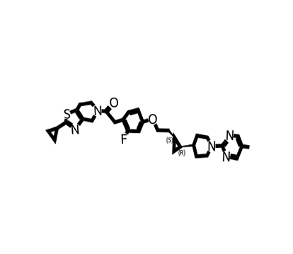 Cc1cnc(N2CCC([C@H]3C[C@H]3CCOc3ccc(CC(=O)N4CCc5sc(C6CC6)nc5C4)c(F)c3)CC2)nc1